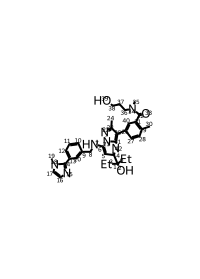 CCC(O)(CC)c1cc(NCc2cccc(-c3nccn3C)c2)n2nc(C)c(-c3ccc(C)c(C(=O)N(C)CCCO)c3)c2n1